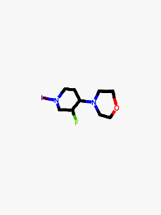 FC1CN(I)CCC1N1CCOCC1